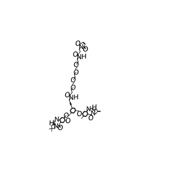 C=C1C[C@H]2C=Nc3cc(OCc4cc(C#CCNC(=O)CCOCCOCCOCCOCCNC(=O)CCN5C(=O)C=CC5=O)cc(COc5cc6c(cc5OC)C(=O)N5CC(C)(C)C[C@H]5C=N6)c4)c(C)cc3C(=O)N2C1